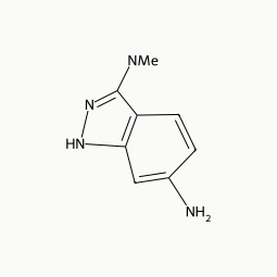 CNc1n[nH]c2cc(N)ccc12